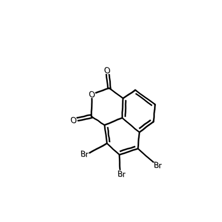 O=C1OC(=O)c2c(Br)c(Br)c(Br)c3cccc1c23